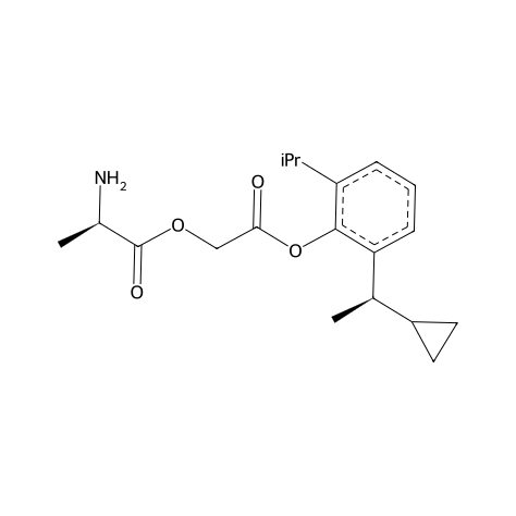 CC(C)c1cccc([C@H](C)C2CC2)c1OC(=O)COC(=O)[C@@H](C)N